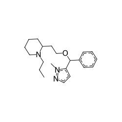 CCCN1CCCCC1CCOC(c1ccccc1)c1ccnn1C